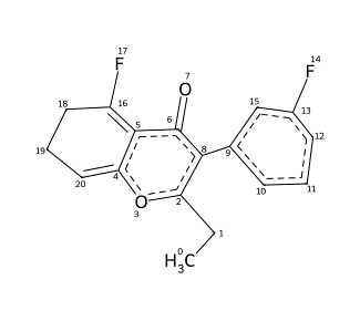 CCc1oc2c(c(=O)c1-c1cccc(F)c1)=C(F)CCC=2